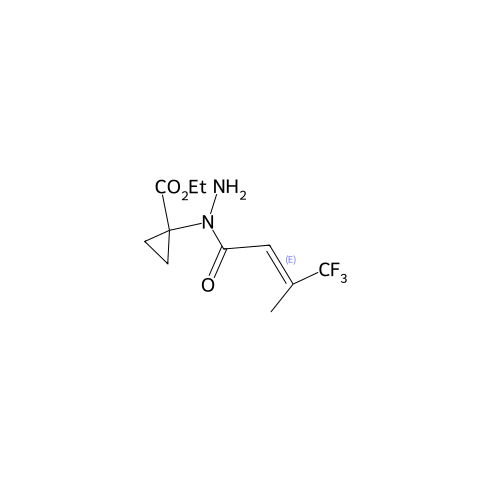 CCOC(=O)C1(N(N)C(=O)/C=C(\C)C(F)(F)F)CC1